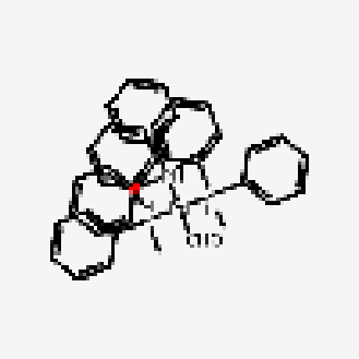 C[PH](c1ccccc1)(c1ccccc1)[Pd]([CH]=O)([PH](C)(c1ccccc1)c1ccccc1)[PH](C)(c1ccccc1)c1ccccc1